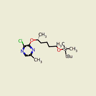 Cc1cnc(Cl)c(O[C@H](C)CCCCO[Si](C)(C)C(C)(C)C)n1